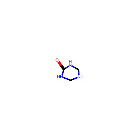 O=C1NCNCN1